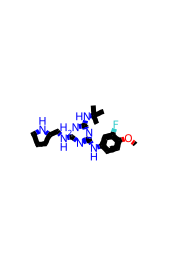 COc1ccc(NC(=N/CNCC2CCCN2)/N=C(\N)NC(C)(C)C)cc1F